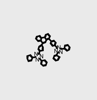 c1ccc(-c2nc(-c3ccccc3)nc(-c3ccc(-c4cc5c(-c6ccc(-c7nc(-c8ccccc8)nc(-c8ccccc8)n7)cc6)cccc5c5ccccc45)cc3)n2)cc1